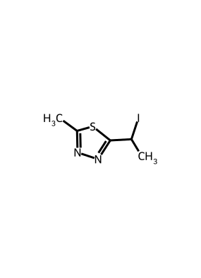 Cc1nnc(C(C)I)s1